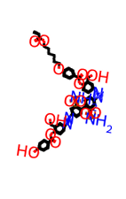 C=CC(=O)OCCCCCCOc1ccc(C(=O)Oc2ccc(/N=N\c3ccc(-c4ccc(N=Nc5ccc(OC(=O)c6ccc(O)cc6)c(CO)c5)cc4S(N)(=O)=O)c(S(N)(=O)=O)c3)cc2CO)cc1